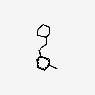 [CH2]c1cccc(OCC2CCCCC2)c1